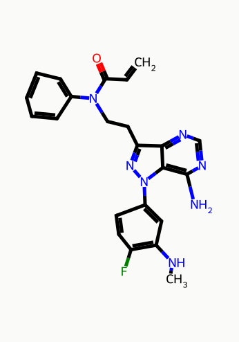 C=CC(=O)N(CCc1nn(-c2ccc(F)c(NC)c2)c2c(N)ncnc12)c1ccccc1